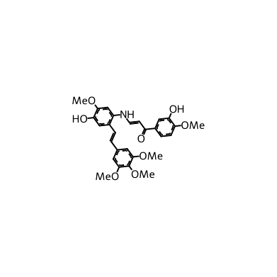 COc1ccc(C(=O)C=CNc2cc(OC)c(O)cc2C=Cc2cc(OC)c(OC)c(OC)c2)cc1O